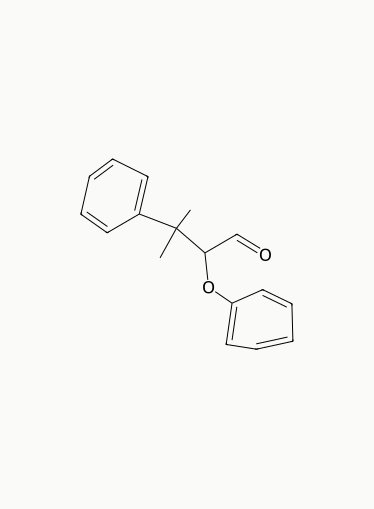 CC(C)(c1ccccc1)C(C=O)Oc1ccccc1